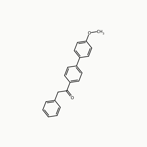 COc1ccc(-c2ccc(C(=O)Cc3ccccc3)cc2)cc1